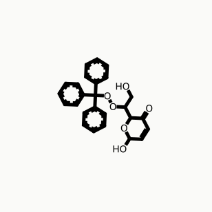 O=C1C=CC(O)OC1C(CO)OOC(c1ccccc1)(c1ccccc1)c1ccccc1